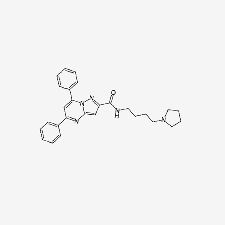 O=C(NCCCCN1CCCC1)c1cc2nc(-c3ccccc3)cc(-c3ccccc3)n2n1